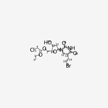 CCOC(CCl)OC[C@@H]1O[C@H](n2cc(C=CBr)c(=O)[nH]c2=O)CC1O